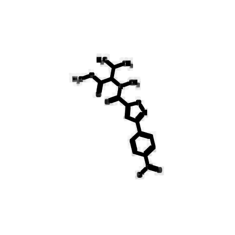 COC(=O)C(C(C)C)N(C)C(=O)c1cc(-c2ccc([N+](=O)[O-])cc2)no1